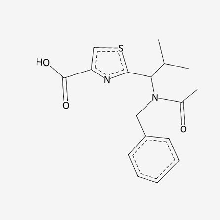 CC(=O)N(Cc1ccccc1)C(c1nc(C(=O)O)cs1)C(C)C